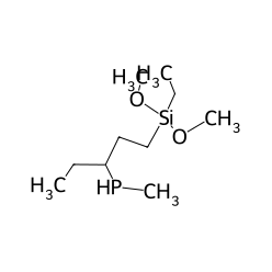 CCC(CC[Si](CC)(OC)OC)PC